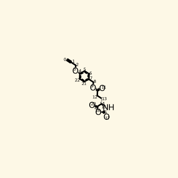 C#CCOc1ccc(COC(=O)CC[C@@H]2NC(=O)OC2=O)cc1